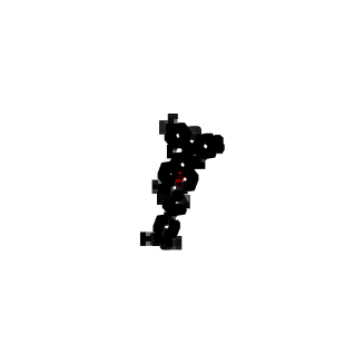 CC1(C)Cc2nc(C3CCN(c4ncc(N5CCS(O)(O)CC5)cn4)CC3)c([C@@H](F)c3ccc(C(F)(F)F)cc3)c(C3CCC(F)(F)CC3)c2[C@@H](O)C1